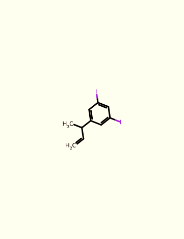 C=C[C](C)c1cc(I)cc(I)c1